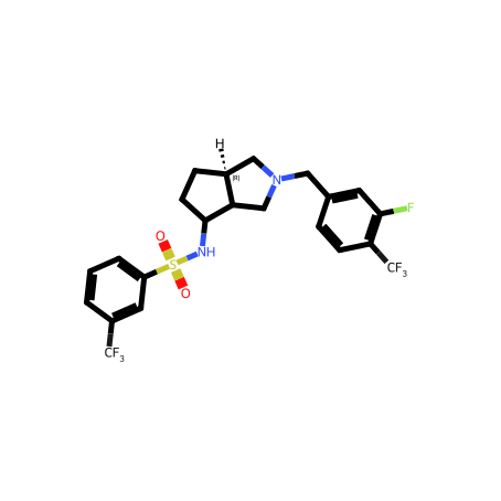 O=S(=O)(NC1CC[C@H]2CN(Cc3ccc(C(F)(F)F)c(F)c3)CC12)c1cccc(C(F)(F)F)c1